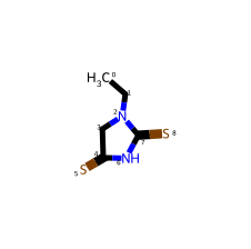 CCN1CC(=S)NC1=S